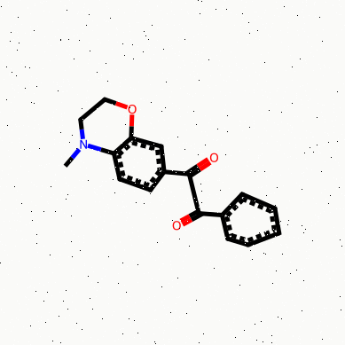 CN1CCOc2cc(C(=O)C(=O)c3ccccc3)ccc21